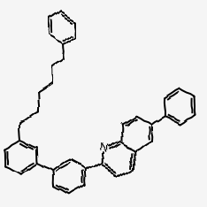 c1ccc(CCCCCCc2cccc(-c3cccc(-c4ccc5cc(-c6ccccc6)ccc5n4)c3)c2)cc1